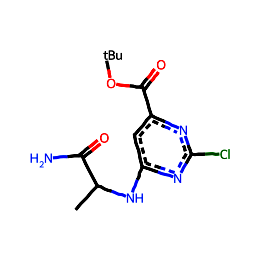 CC(Nc1cc(C(=O)OC(C)(C)C)nc(Cl)n1)C(N)=O